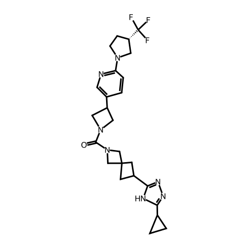 O=C(N1CC(c2ccc(N3CC[C@H](C(F)(F)F)C3)nc2)C1)N1CC2(CC(c3nnc(C4CC4)[nH]3)C2)C1